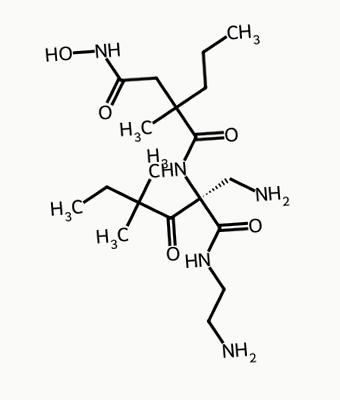 CCCC(C)(CC(=O)NO)C(=O)N[C@@](CN)(C(=O)NCCN)C(=O)C(C)(C)CC